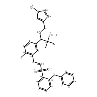 CCn1cc(COC(c2ccc(C)c(CNS(=O)(=O)c3ccccc3Cc3ccccc3)c2)C(C)(C)C(=O)O)nn1